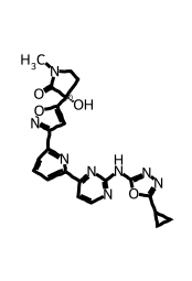 CN1CC[C@@](O)(c2cc(-c3cccc(-c4ccnc(Nc5nnc(C6CC6)o5)n4)n3)no2)C1=O